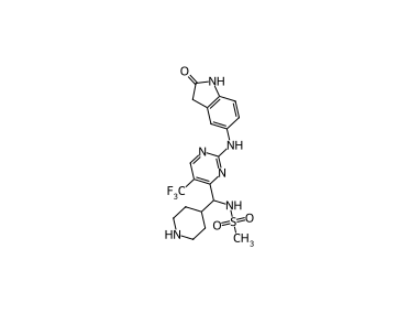 CS(=O)(=O)NC(c1nc(Nc2ccc3c(c2)CC(=O)N3)ncc1C(F)(F)F)C1CCNCC1